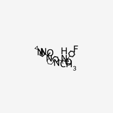 CC(NC(=O)c1ccc(F)cc1)c1ccc2c(n1)CCCN2C(=O)c1ccn(C2CC2)n1